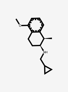 COc1cccc2c1CC[C@H](NCC1CC1)[C@@H]2C